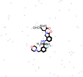 BC(B)(Nc1cccc2c1CN(C(CCC=O)C(=O)NC)C2=O)c1cc(CN2CCOCC2)ccc1F